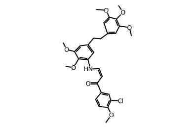 COc1ccc(C(=O)/C=C\Nc2cc(CCc3cc(OC)c(OC)c(OC)c3)cc(OC)c2OC)cc1Cl